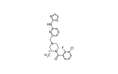 C[C@@H]1CN(Cc2cccc(Nc3nccs3)n2)CCN1C(=O)c1cccc(Cl)c1F